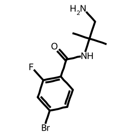 CC(C)(CN)NC(=O)c1ccc(Br)cc1F